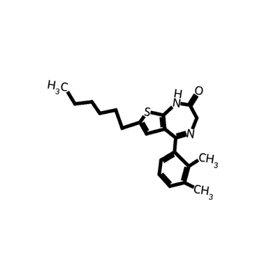 CCCCCCc1cc2c(s1)NC(=O)CN=C2c1cccc(C)c1C